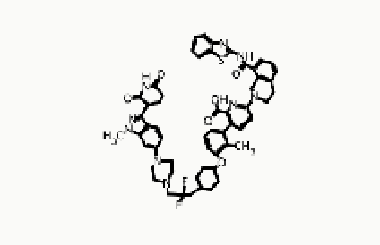 Cc1c(OC2CCC(CC(F)(F)CN3CCN(c4ccc5c(C6CCC(=O)NC6=O)nn(C)c5c4)CC3)CC2)cccc1-c1ccc(N2CCc3cccc(C(=O)Nc4nc5ccccc5s4)c3C2)nc1C(=O)O